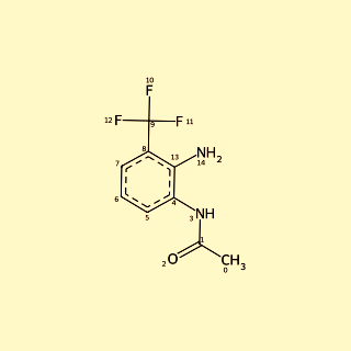 CC(=O)Nc1cccc(C(F)(F)F)c1N